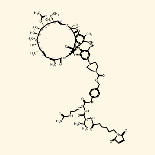 CO[C@H]1/C=C/O[C@@]2(C)Oc3c(C)c(O)c4c(=O)c(c5oc6cc(N7CCN(C(=O)OCc8ccc(NC(=O)[C@H](CCCNC(N)=O)NC(=O)[C@@H](NC(=O)CCCCCN9C(=O)C=CC9=O)C(C)C)cc8)CC7)cc(O)c6nc-5c4c3C2=O)NC(=O)/C(C)=C\C=C\[C@H](C)[C@H](O)[C@@H](C)[C@@H](O)[C@@H](C)[C@H](OC(C)=O)[C@@H]1C